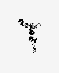 CC(C)(C)OC(=O)N[C@@H](Cc1ccc(Oc2ccnc3c2c(I)cn3COCC[Si](C)(C)C)c(F)c1)C(=O)N1CCN(Cc2ccccn2)CC1